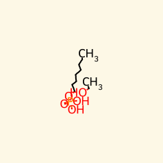 CCCCCCCCOP(=O)(O)O.CCO